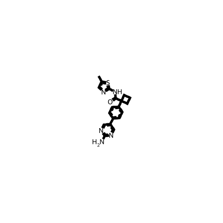 Cc1cnc(NC(=O)C2(c3ccc(-c4cnc(N)nc4)cc3)CCC2)s1